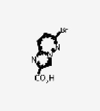 O=C(O)c1cn2nc(Br)ccc2n1